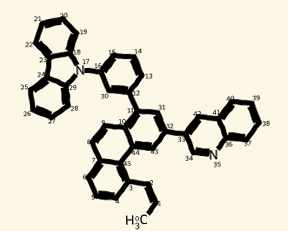 C/C=C\c1cccc2ccc3c(-c4cccc(-n5c6ccccc6c6ccccc65)c4)cc(-c4cnc5ccccc5c4)cc3c12